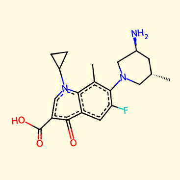 Cc1c(N2C[C@@H](C)C[C@H](N)C2)c(F)cc2c(=O)c(C(=O)O)cn(C3CC3)c12